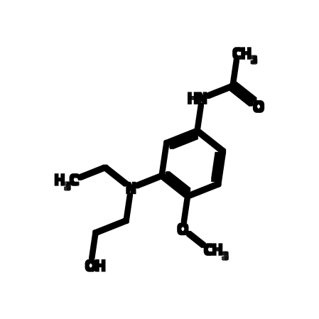 CCN(CCO)c1cc(NC(C)=O)ccc1OC